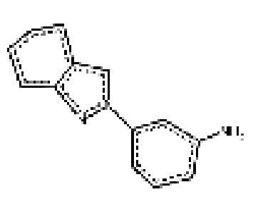 Nc1cccc(-n2cc3ccccc3n2)c1